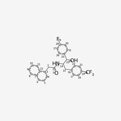 O=C(Cc1cccc2ccccc12)NC(Cc1ccc(C(F)(F)F)cc1)C(O)c1ccc(F)cc1